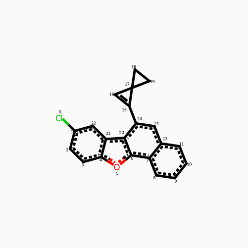 Clc1ccc2oc3c4ccccc4cc(C4=CC45CC5)c3c2c1